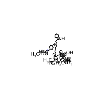 CCCNNC(=O)/C=C/c1ccc(CN(CCCCCOc2cc(-c3scnc3C)ccc2CNC(=O)[C@@H]2C[C@@H](O)CN2C(=O)[C@@H](NC(=O)C2(F)CC2)C(C)(C)C)CCc2c[nH]c3ccccc23)cc1